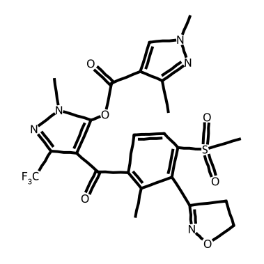 Cc1nn(C)cc1C(=O)Oc1c(C(=O)c2ccc(S(C)(=O)=O)c(C3=NOCC3)c2C)c(C(F)(F)F)nn1C